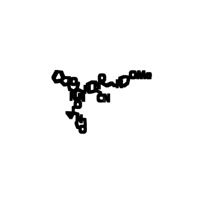 COC1CCN(C/C=C/C(=O)N2CCN(c3nc(OCC4(CN5CCOCC5)CC4)nc4c3COC3(Cc5ccccc5C3)C4)C[C@@H]2CC#N)CC1